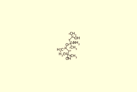 CC(O)CC(C)(N)OC(C)CC(C)(C)O